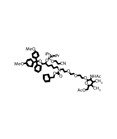 COc1ccc(C(OCC(CCCCN(CCOCCOCCOC2OC(COC(C)=O)C(C)C(C)C2NC(C)=O)C(=O)OCc2ccccc2)OP(OCCC#N)N(C(C)C)C(C)C)(c2ccccc2)c2ccc(OC)cc2)cc1